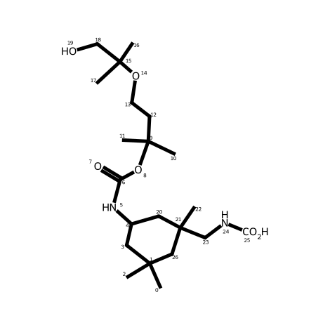 CC1(C)CC(NC(=O)OC(C)(C)CCOC(C)(C)CO)CC(C)(CNC(=O)O)C1